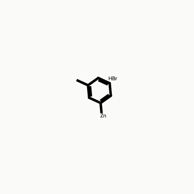 Br.Cc1ccc[c]([Zn])c1